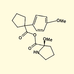 COc1ccc(C2(C(=O)OC(=O)[C@]3(OC)CCCN3)CCCC2)cc1